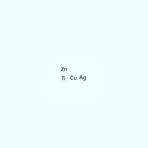 [Ag].[Cu].[Ti].[Zn]